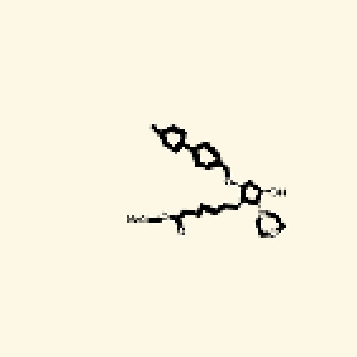 CSCOC(=O)CC/C=C/CC[C@@H]1[C@@H](N2CCOCC2)[C@@H](O)C[C@@H]1OCc1ccc(-c2ccc(C)cc2)cc1